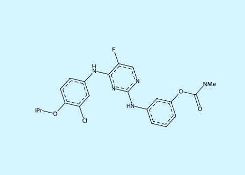 CNC(=O)Oc1cccc(Nc2ncc(F)c(Nc3ccc(OC(C)C)c(Cl)c3)n2)c1